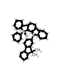 CC1(C)c2ccccc2-c2ccc(-n3c4ccccc4c4ccc5c(c43)P(=O)(c3ccccc3)c3ccccc3-5)cc21